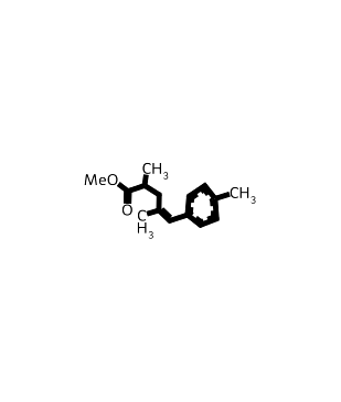 COC(=O)C(C)CC(C)=Cc1ccc(C)cc1